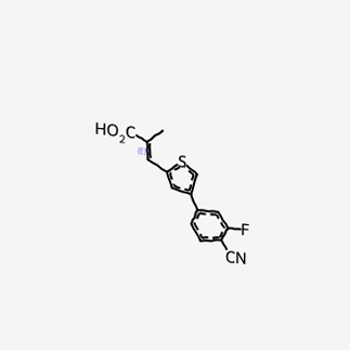 C/C(=C\c1cc(-c2ccc(C#N)c(F)c2)cs1)C(=O)O